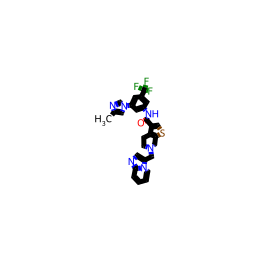 Cc1cn(-c2cc(NC(=O)c3csc4c3CCN(Cc3cnc5ccccn35)C4)cc(C(F)(F)F)c2)cn1